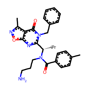 Cc1ccc(C(=O)N(CCCN)[C@H](c2nc3onc(C)c3c(=O)n2Cc2ccccc2)C(C)C)cc1